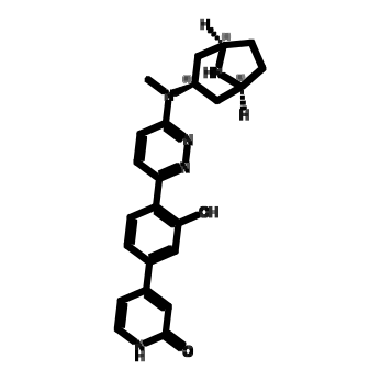 CN(c1ccc(-c2ccc(-c3cc[nH]c(=O)c3)cc2O)nn1)[C@H]1C[C@H]2CC[C@@H](C1)N2